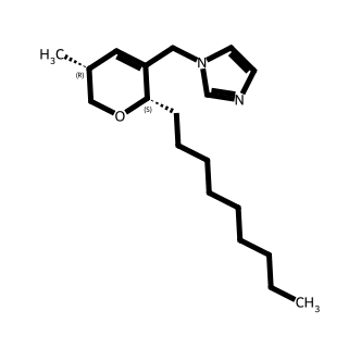 CCCCCCCCC[C@@H]1OC[C@H](C)C=C1Cn1ccnc1